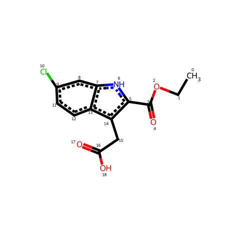 CCOC(=O)c1[nH]c2cc(Cl)ccc2c1CC(=O)O